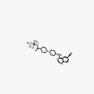 CC(C)(C)OC(=O)N1CCN([C@H]2CC[C@H](Nc3ncnc4ccc(C#N)cc34)CC2)CC1